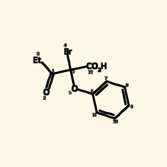 CCC(=O)C(Br)(Oc1ccccc1)C(=O)O